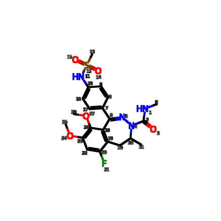 CNC(=O)N1N=C(c2ccc(NS(C)(=O)=O)cc2)c2c(c(F)cc(OC)c2OC)CC1C